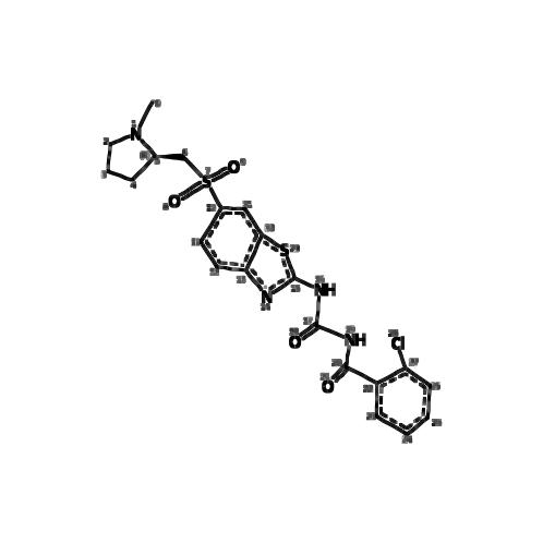 CN1CCC[C@@H]1CS(=O)(=O)c1ccc2nc(NC(=O)NC(=O)c3ccccc3Cl)sc2c1